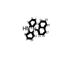 c1ccc2c(c1)Nc1ccccc1N2c1cccc2ccccc12